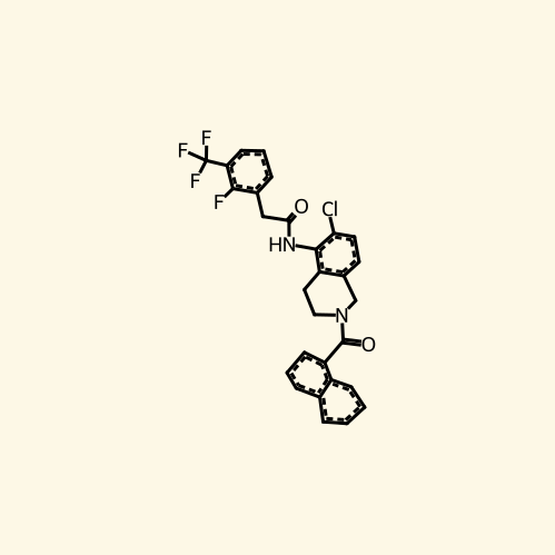 O=C(Cc1cccc(C(F)(F)F)c1F)Nc1c(Cl)ccc2c1CCN(C(=O)c1cccc3ccccc13)C2